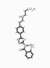 CCCCN(C(=O)c1ccccc1F)c1nnc(-c2ccc(CCNCCC(=O)O)cc2)s1